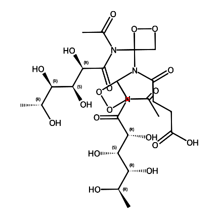 CC(=O)N(C(=O)[C@H](O)[C@@H](O)[C@H](O)[C@@H](C)O)C1(N(C(=O)CCC(=O)O)C2(N(C(C)=O)C(=O)[C@H](O)[C@@H](O)[C@H](O)[C@@H](C)O)COO2)COO1